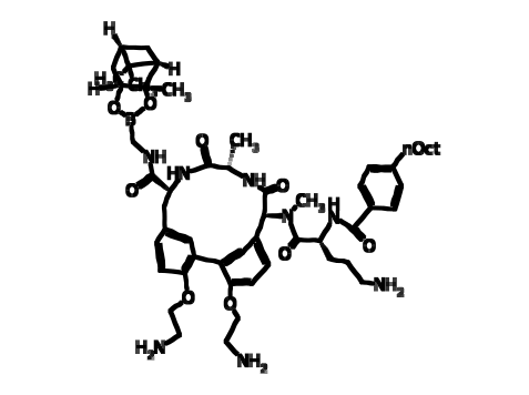 CCCCCCCCc1ccc(C(=O)N[C@@H](CCCN)C(=O)N(C)[C@@H]2C(=O)N[C@@H](C)C(=O)N[C@H](C(=O)NCB3O[C@@H]4C[C@@H]5C[C@@H](C5(C)C)[C@]4(C)O3)Cc3ccc(OCCN)c(c3)-c3cc2ccc3OCCN)cc1